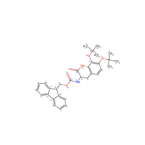 CC(C)(C)Oc1ccc(CC(NC(=O)OCC2c3ccccc3-c3ccccc32)C(=O)O)cc1OC(C)(C)C